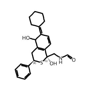 O=CNC[C@@]1(O)S[C@@H](c2ccccc2)CC2=C1C=CC(=C1CCCCC1)C2O